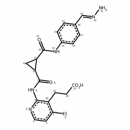 CCc1ccnc(NC(=O)C2CC2C(=O)Nc2ccc(C=NN)cc2)c1CCC(=O)O